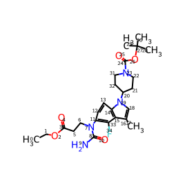 CCOC(=O)CCN(C(N)=O)c1ccc2c(c(C)cn2C2CCN(C(=O)OC(C)(C)C)CC2)c1F